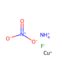 O=[N+]([O-])[O-].[Cu+].[F-].[NH4+]